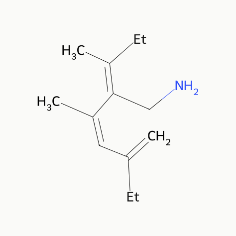 C=C(/C=C(C)\C(CN)=C(/C)CC)CC